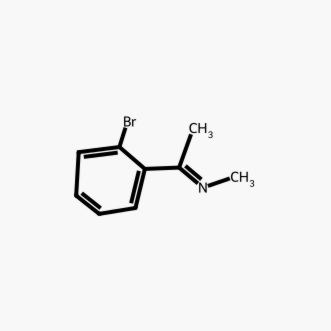 C/N=C(\C)c1ccccc1Br